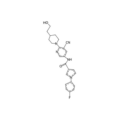 N#Cc1cc(NC(=O)c2ccn(-c3ccc(F)cc3)c2)cnc1N1CCC(CCO)CC1